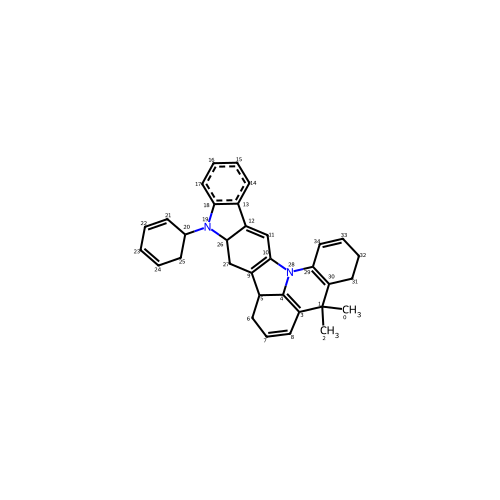 CC1(C)C2=C3C(CC=C2)C2=C(C=C4c5ccccc5N(C5C=CC=CC5)C4C2)N3C2=C1CCC=C2